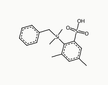 Cc1cc(C)c([Si](C)(C)Cc2ccccc2)c(S(=O)(=O)O)c1